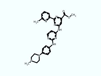 COC(=O)c1cc(Nc2ccnc(Nc3ccc(N4CCN(C)CC4)cc3)n2)nc(-c2cccc(C)n2)n1